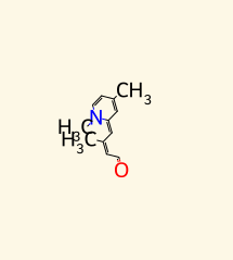 CC1=C/C(=C/C(C)=C\C=O)N(C)C=C1